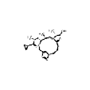 C[C@H](CO)N1C[C@H](C)[C@@H](CN(C)C(=O)C2CC2)OCc2cn(nn2)CCCC1=O